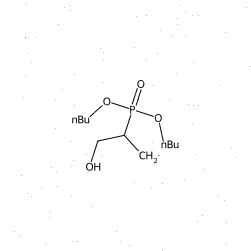 [CH2]C(CO)P(=O)(OCCCC)OCCCC